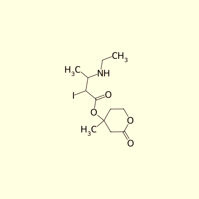 CCNC(C)C(I)C(=O)OC1(C)CCOC(=O)C1